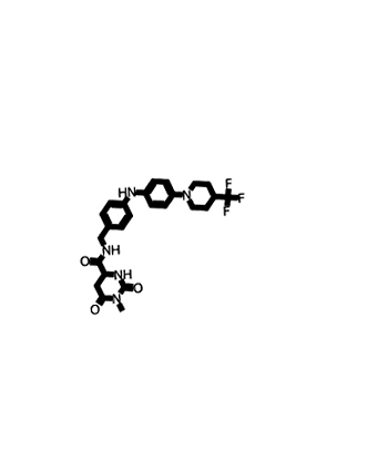 CN1C(=O)CC(C(=O)NCc2ccc(Nc3ccc(N4CCC(C(F)(F)F)CC4)cc3)cc2)NC1=O